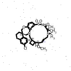 CO[C@@H]1/C=C/CN(C)C(C)(C)C(=O)NS(=O)(=O)c2ccc3c(c2)N(C[C@@H]2CC[C@H]21)C[C@@]1(CCCc2cc(Cl)ccc21)CO3